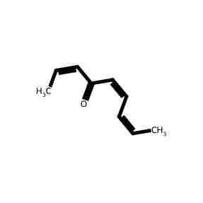 C/C=C\C=C/C(=O)/C=C\C